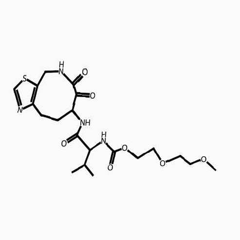 COCCOCCOC(=O)NC(C(=O)NC1CCc2ncsc2CNC(=O)C1=O)C(C)C